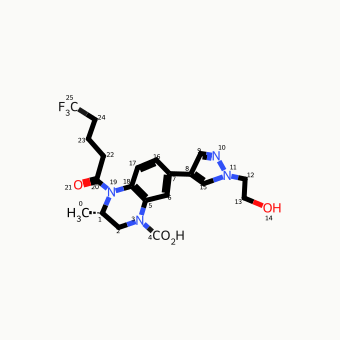 C[C@H]1CN(C(=O)O)c2cc(-c3cnn(CCO)c3)ccc2N1C(=O)CCCC(F)(F)F